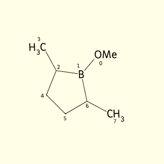 COB1C(C)CCC1C